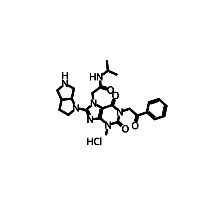 CC(C)NC(=O)Cn1c(N2CCC3CNCC32)nc2c1c(=O)n(CC(=O)c1ccccc1)c(=O)n2C.Cl